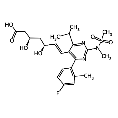 Cc1cc(F)ccc1-c1nc(N(C)S(C)(=O)=O)nc(C(C)C)c1/C=C/[C@@H](O)C[C@@H](O)CC(=O)O